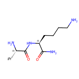 CC(C)[C@H](N)C(=O)N[C@@H](CCCCN)C(N)=O